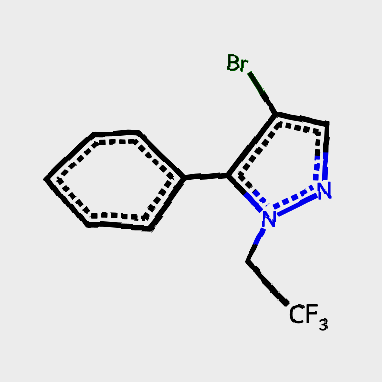 FC(F)(F)Cn1ncc(Br)c1-c1ccccc1